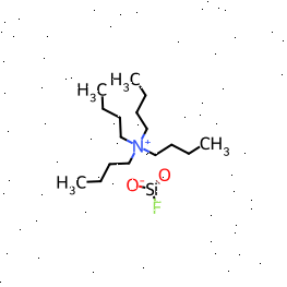 CCCC[N+](CCCC)(CCCC)CCCC.O=[Si]([O-])F